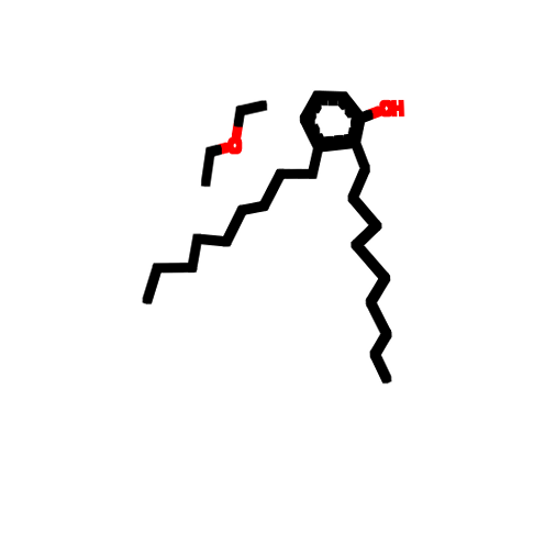 CCCCCCCCCc1cccc(O)c1CCCCCCCCC.CCOCC